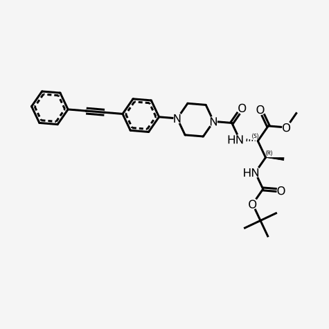 COC(=O)[C@@H](NC(=O)N1CCN(c2ccc(C#Cc3ccccc3)cc2)CC1)[C@@H](C)NC(=O)OC(C)(C)C